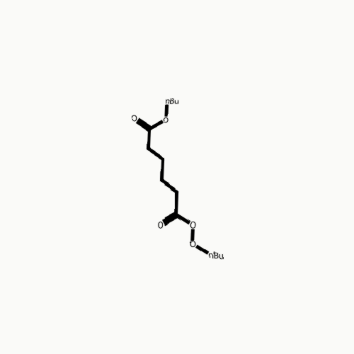 CCCCOOC(=O)CCCCC(=O)OCCCC